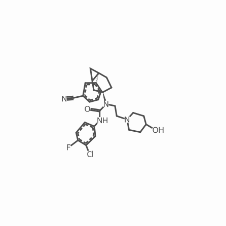 N#Cc1cccc([C@]23CC[C@@H](N(CCN4CCC(O)CC4)C(=O)Nc4ccc(F)c(Cl)c4)CC2C3)c1